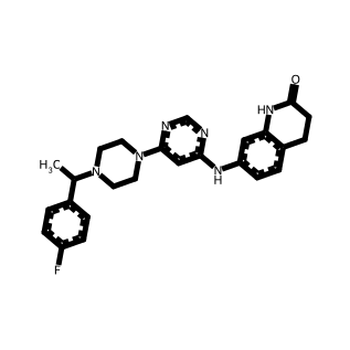 CC(c1ccc(F)cc1)N1CCN(c2cc(Nc3ccc4c(c3)NC(=O)CC4)ncn2)CC1